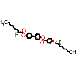 CCCCCC[C@H](F)COc1ccc(C(=O)Oc2ccc(-c3ccc(OC(=O)[C@@H](F)CCCCCC)cc3)cc2)cc1